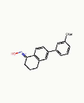 COc1cccc(-c2ccc3c(c2)CCC/C3=N\O)c1